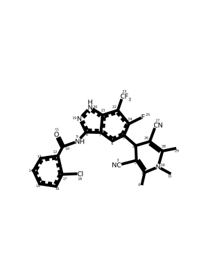 CC1=C(C#N)C(c2cc3c(NC(=O)c4ccccc4Cl)n[nH]c3c(C(F)(F)F)c2F)C(C#N)=C(C)N1C